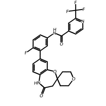 O=C1CC2(CCOCC2)Oc2cc(-c3cc(NC(=O)c4ccnc(C(F)(F)F)c4)ccc3F)ccc2N1